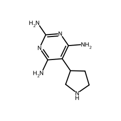 Nc1nc(N)c(C2CCNC2)c(N)n1